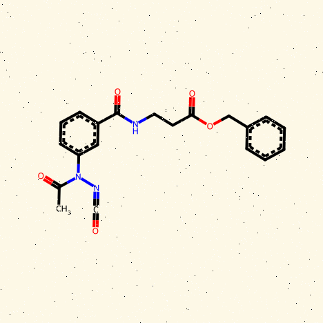 CC(=O)N(N=C=O)c1cccc(C(=O)NCCC(=O)OCc2ccccc2)c1